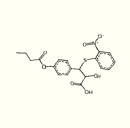 CCCC(=O)Oc1ccc(C(Sc2ccccc2[N+](=O)[O-])C(O)C(=O)O)cc1